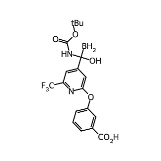 BC(O)(NC(=O)OC(C)(C)C)c1cc(Oc2cccc(C(=O)O)c2)nc(C(F)(F)F)c1